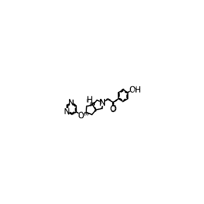 O=C(CN1CC2C[C@H](Oc3cncnc3)C[C@H]2C1)c1ccc(O)cc1